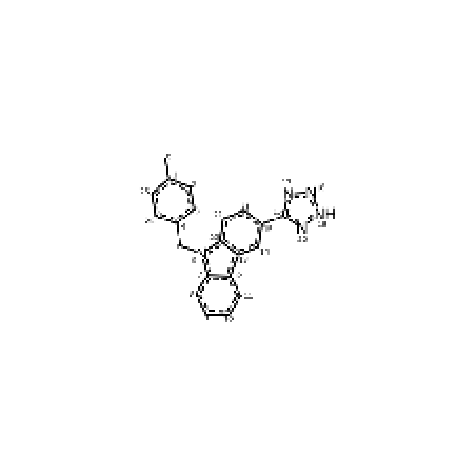 Cc1ccc(Cn2c3ccccc3c3cc(-c4nn[nH]n4)ccc32)cc1